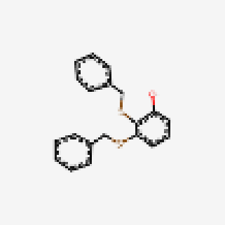 [O]c1cccc(SCc2ccccc2)c1SCc1ccccc1